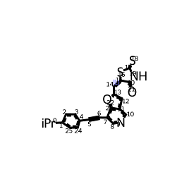 CC(C)c1ccc(C#Cc2cncc3cc(/C=C4/SC(=S)NC4=O)oc23)cc1